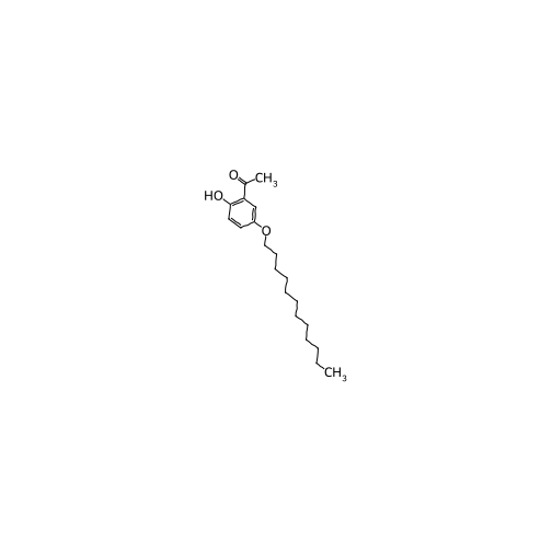 CCCCCCCCCCCCOc1ccc(O)c(C(C)=O)c1